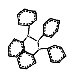 c1ccc(B(N(c2ccccc2)c2ccccc2)N(c2ccccc2)c2ccccc2)cc1